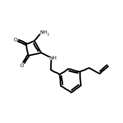 C=CCc1cccc(CNc2c(N)c(=O)c2=O)c1